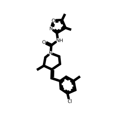 Cc1cc(Cl)cc(C=C2CCN(C(=O)Nc3noc(C)c3C)CC2C)c1